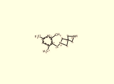 Cc1cc(C(F)(F)F)nc(C)c1SN1CC2(CNC2)C1